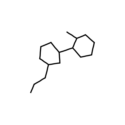 CCCC1CCCC(C2CCCCC2C)C1